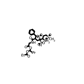 CCC(=O)OC(OC(=O)CNC(=O)C(Cc1ccccc1)CC(C(N)CCS(C)(=O)=O)([SH](=O)=O)[SH](=O)=O)C(C)C